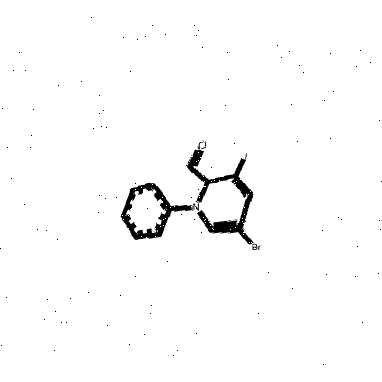 O=CC1C(I)=CC(Br)=CN1c1ccccc1